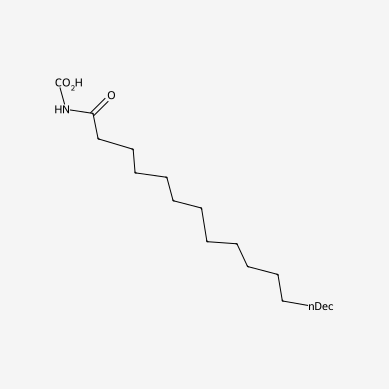 CCCCCCCCCCCCCCCCCCCCCC(=O)NC(=O)O